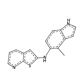 Cc1c(Nc2cc3cccnc3s2)ccc2[nH]ccc12